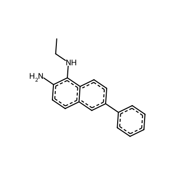 CCNc1c(N)ccc2cc(-c3ccccc3)ccc12